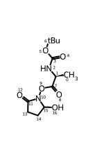 C[C@H](NC(=O)OC(C)(C)C)C(=O)ON1C(=O)CCC1O